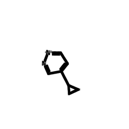 C1=N[N+]=CC=C1C1CC1